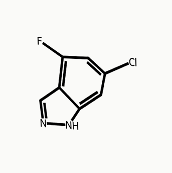 Fc1cc(Cl)cc2[nH]ncc12